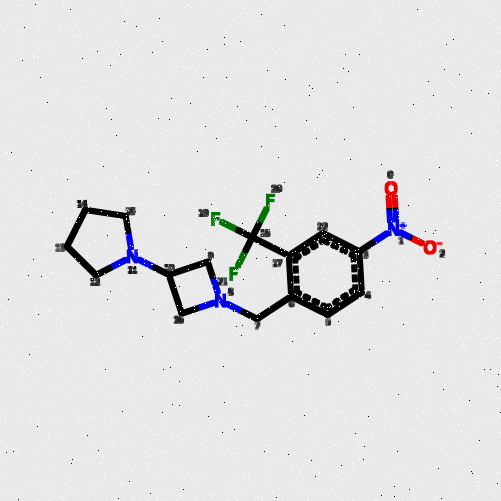 O=[N+]([O-])c1ccc(CN2CC(N3CCCC3)C2)c(C(F)(F)F)c1